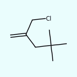 C=C(CCl)CC(C)(C)C